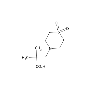 CC(C)(CN1CCS(=O)(=O)CC1)C(=O)O